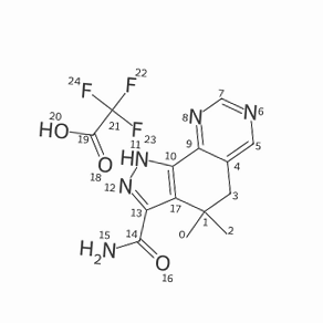 CC1(C)Cc2cncnc2-c2[nH]nc(C(N)=O)c21.O=C(O)C(F)(F)F